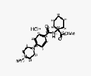 CCCN1CCN(c2ccc(C(=O)NC3(C(=O)OC)CCCCC3)cc2)CC1.Cl